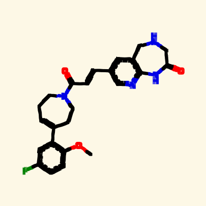 COc1ccc(F)cc1C1=CCCN(C(=O)/C=C/c2cnc3c(c2)CNCC(=O)N3)CC1